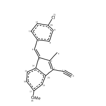 C#CC1=C(C)C(=Cc2ccc(Cl)cc2)c2ccc(OC)cc21